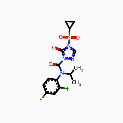 CC(C)N(C(=O)n1ncn(S(=O)(=O)C2CC2)c1=O)c1ccc(F)cc1F